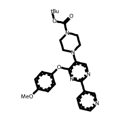 COc1ccc(Oc2nc(-c3cccnc3)ncc2N2CCN(C(=O)OC(C)(C)C)CC2)cc1